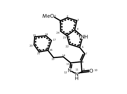 COc1ccc2[nH]c(C=C3C(=O)NN=C3CCc3ccccc3)cc2c1